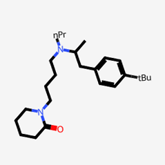 CCCN(CCCCN1CCCCC1=O)C(C)Cc1ccc(C(C)(C)C)cc1